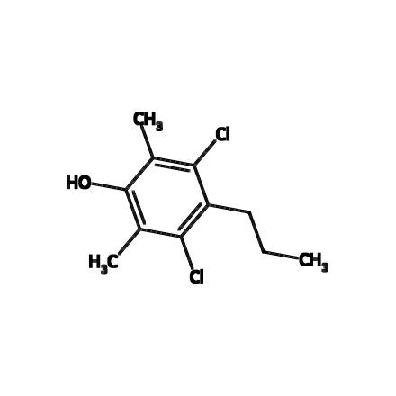 CCCc1c(Cl)c(C)c(O)c(C)c1Cl